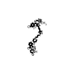 Cc1c(C#Cc2cnn(CCCCN3CCC(Oc4cccc5c4C(=O)N(C4CCC(=O)NC4=O)C5=O)CC3)c2)sc2c1C(c1ccc(Cl)cc1)=NCc1nnc(C)n1-2